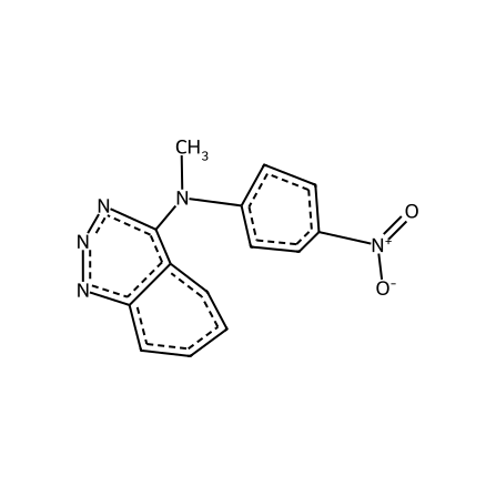 CN(c1ccc([N+](=O)[O-])cc1)c1nnnc2ccccc12